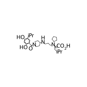 CC(C)C[C@@H](C(=O)O)N(CCCNC1CCN(C(=O)c2cc(C(C)C)c(O)cc2O)CC1)C1CCCC1